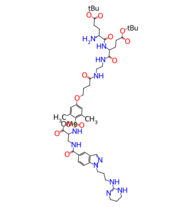 COC(=O)C(CNC(=O)c1ccc2c(cnn2CCCNC2=NCCCN2)c1)NS(=O)(=O)c1c(C)cc(OCCCC(=O)NCCNC(=O)C(CCC(=O)OC(C)(C)C)NC(=O)[C@@H](N)CCC(=O)OC(C)(C)C)cc1C